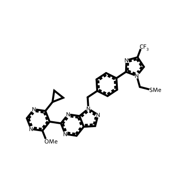 COc1ncnc(C2CC2)c1-c1ncc2cnn(Cc3ccc(-c4nc(C(F)(F)F)cn4CSC)cc3)c2n1